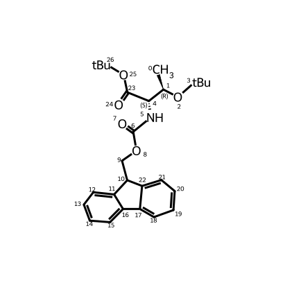 C[C@@H](OC(C)(C)C)[C@H](NC(=O)OCC1c2ccccc2-c2ccccc21)C(=O)OC(C)(C)C